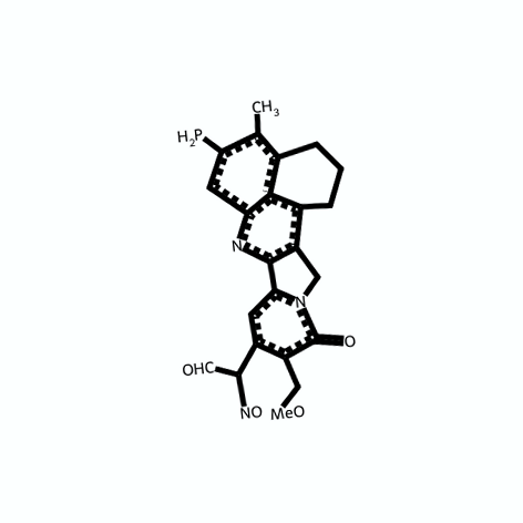 COCc1c(C(C=O)N=O)cc2n(c1=O)Cc1c-2nc2cc(P)c(C)c3c2c1CCC3